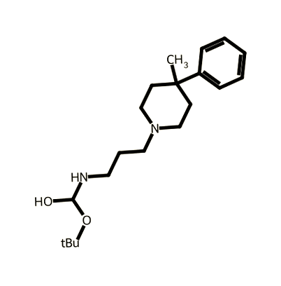 CC(C)(C)OC(O)NCCCN1CCC(C)(c2ccccc2)CC1